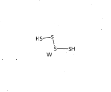 SSSS.[W]